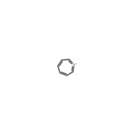 C1=CC=[N+]=CC=C1